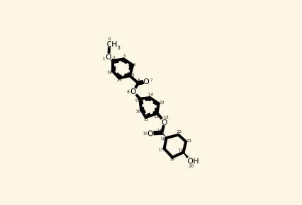 COc1ccc(C(=O)Oc2ccc(OC(=O)[C@H]3CC[C@H](O)CC3)cc2)cc1